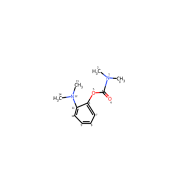 CN(C)C(=O)Oc1ccccc1N(C)C